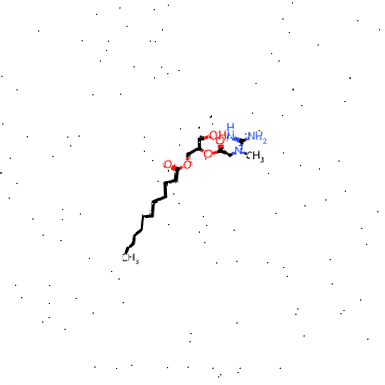 CCCCCCCCCCCC(=O)OCC(CO)OC(=O)CN(C)C(=N)N